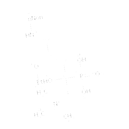 CCCCCCCCCNCC(CC(O)(C[N+](C)(C)C)P(=O)(O)O)OCC